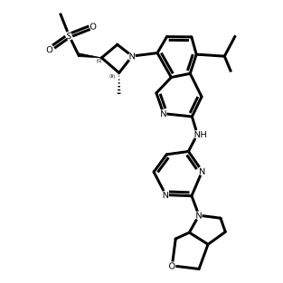 CC(C)c1ccc(N2C[C@H](CS(C)(=O)=O)[C@H]2C)c2cnc(Nc3ccnc(N4CCC5COCC54)n3)cc12